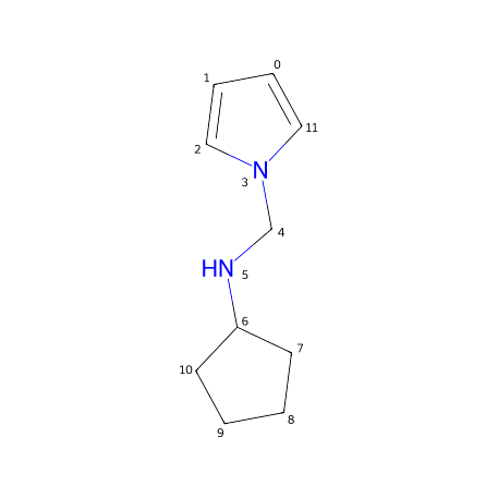 c1ccn(CNC2CCCC2)c1